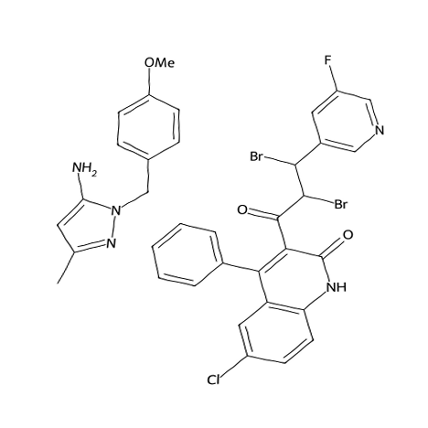 COc1ccc(Cn2nc(C)cc2N)cc1.O=C(c1c(-c2ccccc2)c2cc(Cl)ccc2[nH]c1=O)C(Br)C(Br)c1cncc(F)c1